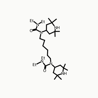 CCN(CC)C(=O)N(CCCCCCN(C(=O)N(CC)CC)C1CC(C)(C)NC(C)(C)C1)C1CC(C)(C)NC(C)(C)C1